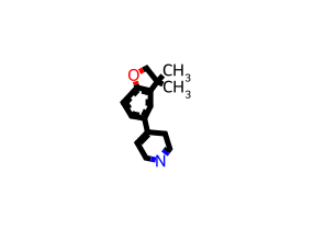 CC1(C)COc2ccc(C3=CCN=CC3)cc21